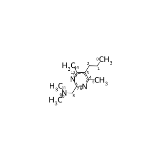 CCCc1c(C)nc(CN(C)C)nc1C